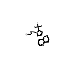 CCNn1ccnc1C(F)(F)F.c1ccc2ncccc2c1